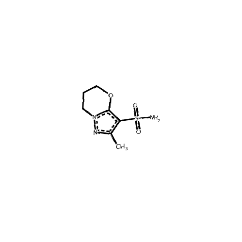 Cc1nn2c(c1S(N)(=O)=O)OCCC2